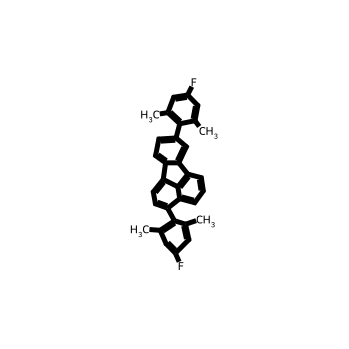 Cc1cc(F)cc(C)c1-c1ccc2c(c1)-c1cccc3c(-c4c(C)cc(F)cc4C)ccc-2c13